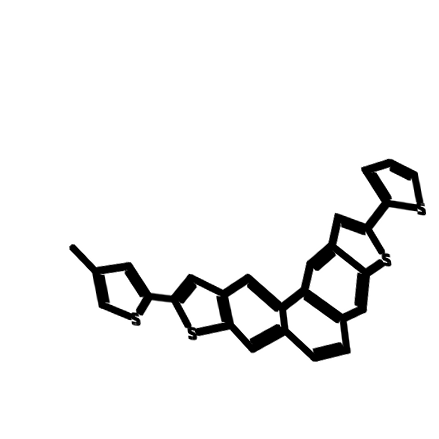 Cc1csc(-c2cc3cc4c(ccc5cc6sc(-c7cccs7)cc6cc54)cc3s2)c1